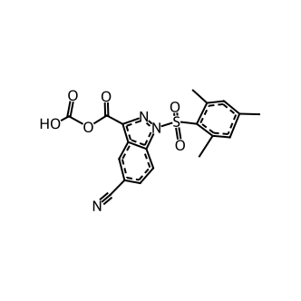 Cc1cc(C)c(S(=O)(=O)n2nc(C(=O)OC(=O)O)c3cc(C#N)ccc32)c(C)c1